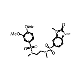 COc1ccc(S(=O)(=O)N(C)CCN(C)S(=O)(=O)c2ccc3c(c2)n(C)c(=O)n3C)cc1OC